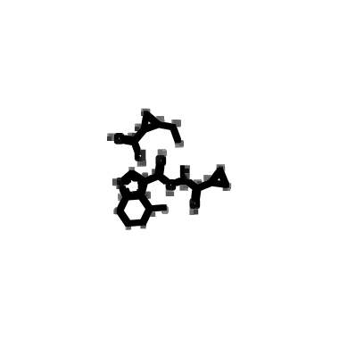 CC1CCCc2scc(C(=O)ONC(=O)C3CC3)c21.CCC1CC1C(=O)Cl